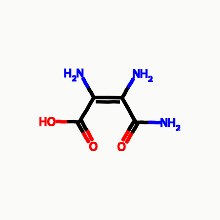 NC(=O)/C(N)=C(/N)C(=O)O